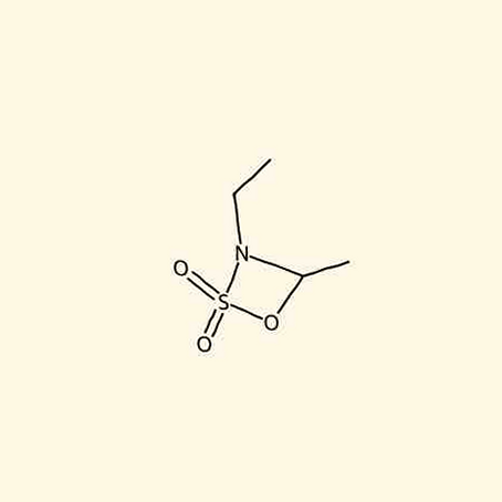 CCN1C(C)OS1(=O)=O